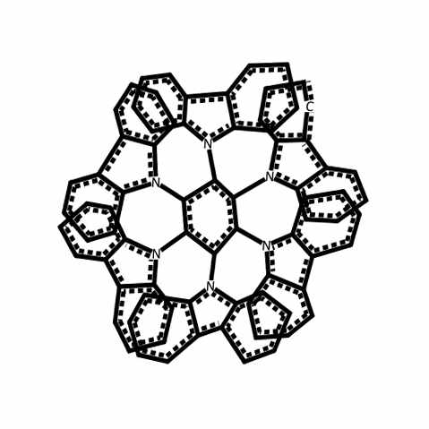 c1ccc2c(c1)c1ccccc1n2-c1c(-n2c3ccccc3c3ccccc32)c(-n2c3ccccc3c3ccccc32)c(-n2c3ccccc3c3ccccc32)c(-n2c3ccccc3c3ccccc32)c1-n1c2ccccc2c2ccccc21